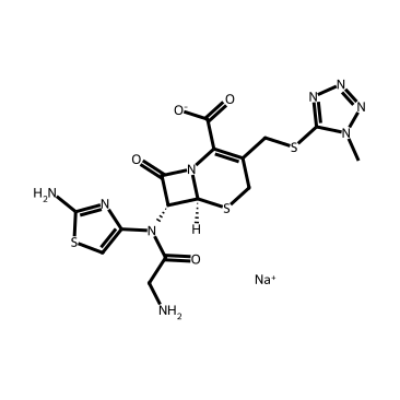 Cn1nnnc1SCC1=C(C(=O)[O-])N2C(=O)[C@@H](N(C(=O)CN)c3csc(N)n3)[C@@H]2SC1.[Na+]